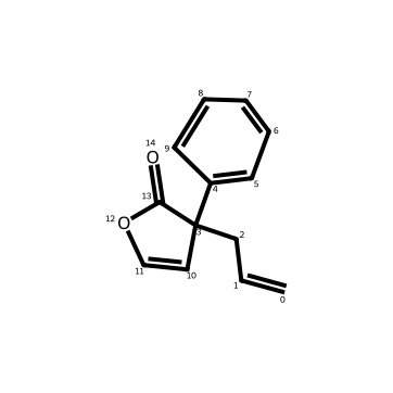 C=CCC1(c2ccccc2)C=COC1=O